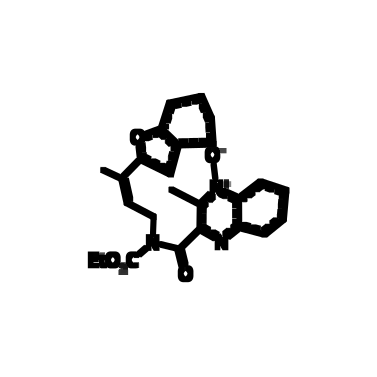 CCOC(=O)N(CC=C(C)c1cc2ccccc2o1)C(=O)c1nc2ccccc2[n+]([O-])c1C